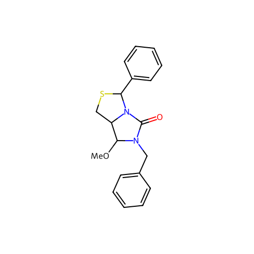 COC1C2CSC(c3ccccc3)N2C(=O)N1Cc1ccccc1